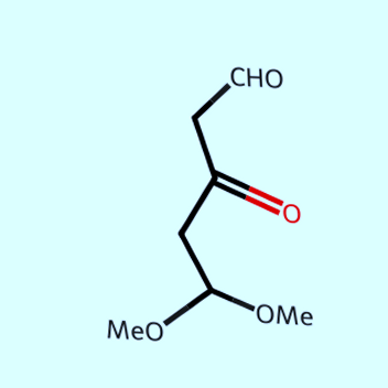 COC(CC(=O)CC=O)OC